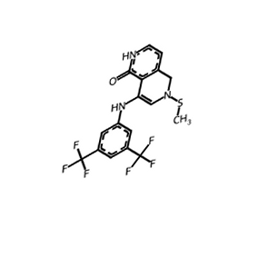 CSN1C=C(Nc2cc(C(F)(F)F)cc(C(F)(F)F)c2)c2c(cc[nH]c2=O)C1